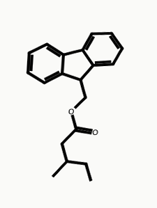 CCC(C)CC(=O)OCC1c2ccccc2-c2ccccc21